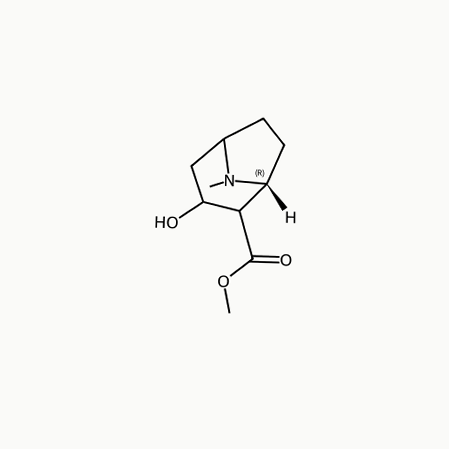 COC(=O)C1C(O)CC2CC[C@H]1N2C